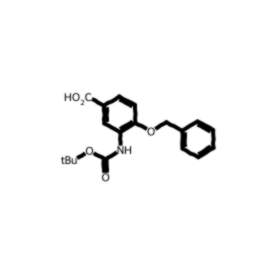 CC(C)(C)OC(=O)Nc1cc(C(=O)O)ccc1OCc1ccccc1